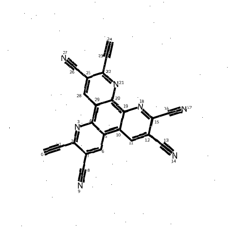 C#Cc1nc2c(cc1C#N)c1cc(C#N)c(C#N)nc1c1nc(C#C)c(C#N)cc21